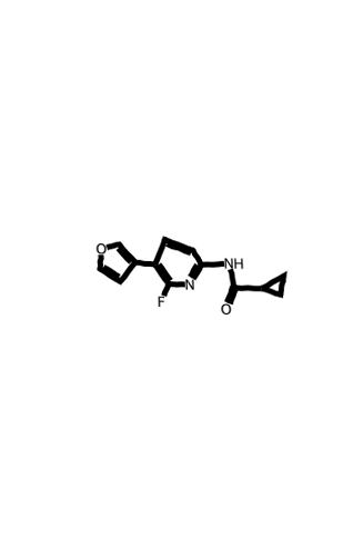 O=C(Nc1ccc(-c2ccoc2)c(F)n1)C1CC1